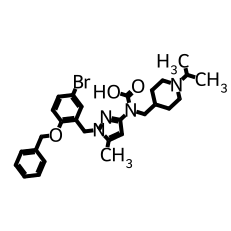 Cc1cc(N(CC2CCN(C(C)C)CC2)C(=O)O)nn1Cc1cc(Br)ccc1OCc1ccccc1